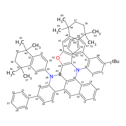 CC(C)(C)c1ccc(N2c3c4c(cc5ccccc35)-c3ccc(-c5ccccc5)cc3N(c3ccc5c(c3)C(C)(C)CCC5(C)C)B4c3oc4cc5c(cc4c32)C(C)(C)CCC5(C)C)c(-c2ccccc2)c1